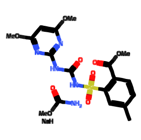 COC(=O)c1ccc(C)cc1S(=O)(=O)NC(=O)Nc1nc(OC)cc(OC)n1.COC(N)=O.[NaH]